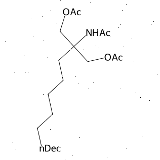 CCCCCCCCCCCCCCCC(COC(C)=O)(COC(C)=O)NC(C)=O